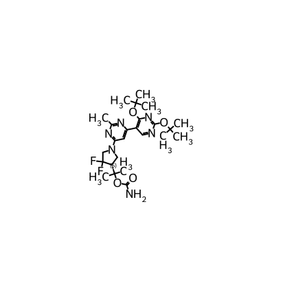 Cc1nc(-c2cnc(OC(C)(C)C)nc2OC(C)(C)C)cc(N2C[C@@H](C(C)(C)OC(N)=O)C(F)(F)C2)n1